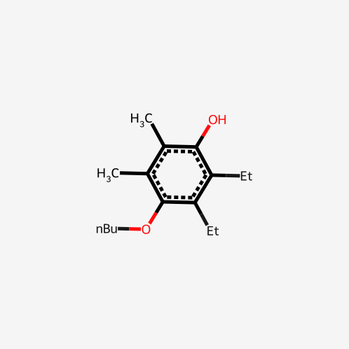 CCCCOc1c(C)c(C)c(O)c(CC)c1CC